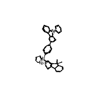 CC1(C)c2cc(N(C3=CC=CCN3)c3ccc(-c4ccc5c(c4)c4c#cccc4n5-c4ccccc4)cc3)ccc2C2C=CC=CC21